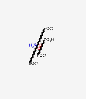 CCCCCCCCC=CCCCCCCCC(=O)C(N)C(=O)CCCCCCCC=CCCCCCCCC.CCCCCCCCC=CCCCCCCCC(=O)O